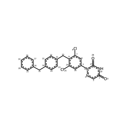 O=c1cnn(-c2cc(Cl)c(Cc3ccc(Cc4ccccc4)cc3)c(Cl)c2)c(=O)[nH]1